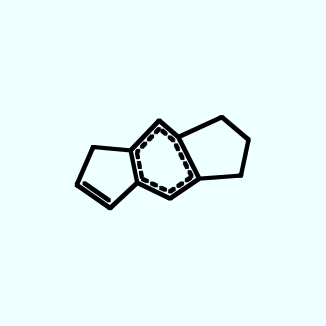 C1=Cc2cc3c(cc2C1)CCC3